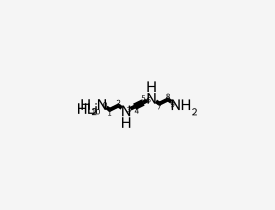 NCCNC#CNCCN.[LiH]